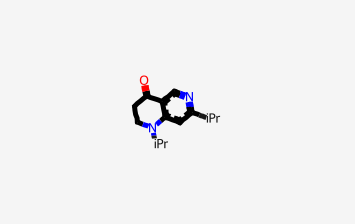 CC(C)c1cc2c(cn1)C(=O)CCN2C(C)C